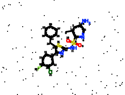 Cc1cc(N)cnc1S(=O)(=O)Nc1nc(-c2ccc(F)c(Cl)c2)c(Cc2ccccc2)s1